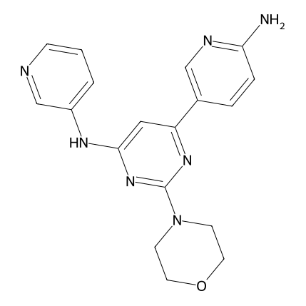 Nc1ccc(-c2cc(Nc3cccnc3)nc(N3CCOCC3)n2)cn1